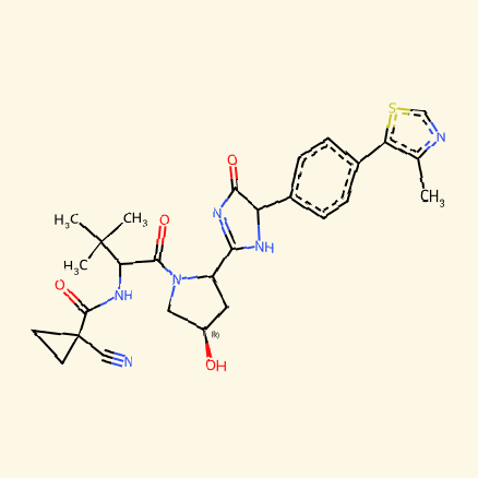 Cc1ncsc1-c1ccc(C2NC(C3C[C@@H](O)CN3C(=O)C(NC(=O)C3(C#N)CC3)C(C)(C)C)=NC2=O)cc1